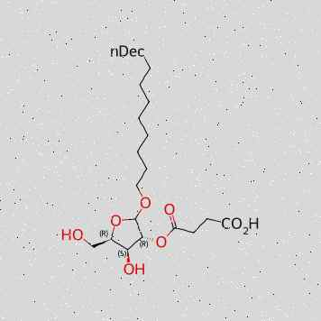 CCCCCCCCCCCCCCCCCCOC1O[C@H](CO)[C@H](O)[C@H]1OC(=O)CCC(=O)O